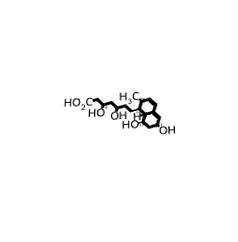 C[C@H]1C=CC2=C[C@@H](O)C[C@H](O)[C@@H]2[C@H]1CCC(O)C[C@@H](O)CC(=O)O